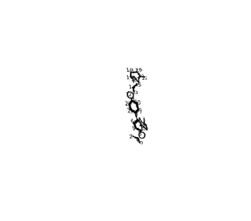 CC(C)Oc1ccc(-c2ccc(OCCCN3CCCC3C)cc2)nn1